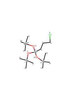 C[Si](C)(C)O[Si](CCCCl)(O[Si](C)(C)C)O[Si](C)(C)C